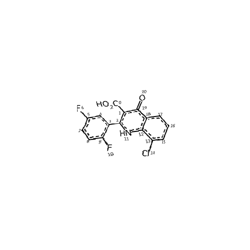 O=C(O)c1c(-c2cc(F)ccc2F)[nH]c2c(Cl)cccc2c1=O